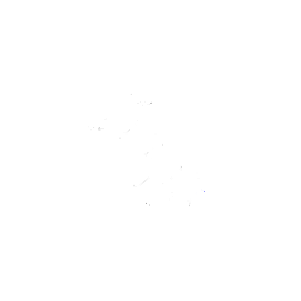 COc1ccc(C(=CC#N)c2ccncc2)cc1OC